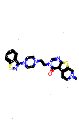 CN1CCC2=C(C1)SC1N=CN(CCN3CCN(c4nsc5ccccc45)CC3)C(=O)C21